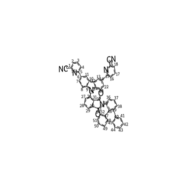 N#Cc1cccc(-c2ccc3c(c2)c2cc(-c4cccc(C#N)n4)ccc2n3-c2cccc3c2C(=O)N(c2cccc(-c4ccccc4)c2-c2ccccc2)C3=O)n1